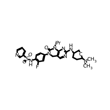 CC(C)N1C(=O)N(c2ccc(NS(=O)(=O)c3cccnc3)c(F)c2)Cc2cnc(NC3CCC(N(C)C)CC3)nc21